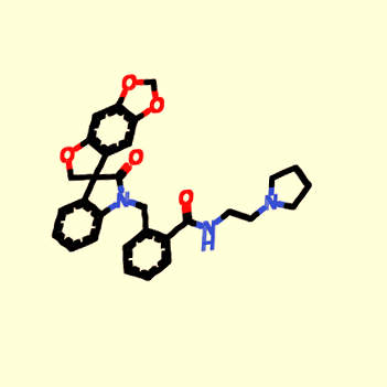 O=C(NCCN1CCCC1)c1ccccc1CN1C(=O)C2(COc3cc4c(cc32)OCO4)c2ccccc21